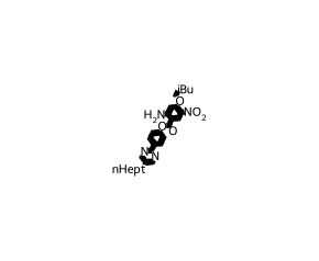 CCCCCCCc1cnc(-c2ccc(OC(=O)c3cc([N+](=O)[O-])c(OCC(C)CC)cc3N)cc2)nc1